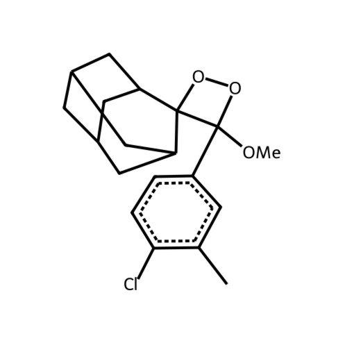 COC1(c2ccc(Cl)c(C)c2)OOC12C1CC3CC(C1)CC2C3